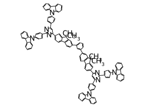 CC1(C)c2cc(-c3cccc(-c4ccc5c(c4)C(C)(C)c4cc(-c6cc(-c7ccc(-n8c9ccccc9c9ccccc98)cc7)nc(-c7ccc(-n8c9ccccc9c9ccccc98)cc7)n6)ccc4-5)c3)ccc2-c2ccc(-c3cc(-c4ccc(-n5c6ccccc6c6ccccc65)cc4)nc(-c4ccc(-n5c6ccccc6c6ccccc65)cc4)n3)cc21